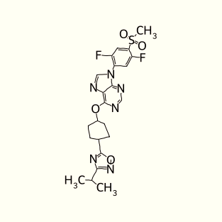 CC(C)c1noc(C2CCC(Oc3ncnc4c3ncn4-c3cc(F)c(S(C)(=O)=O)cc3F)CC2)n1